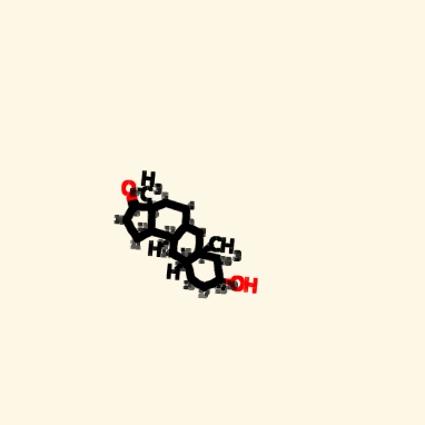 C[C@]12CC3CC[C@]4(C)C(=O)CCC4[C@@H]3C[C@@H]1CC[C@H](O)C2